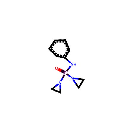 O=P(Nc1ccccc1)(N1CC1)N1CC1